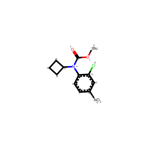 CC(C)(C)OC(=O)N(c1ccc([N+](=O)[O-])cc1Cl)C1CCC1